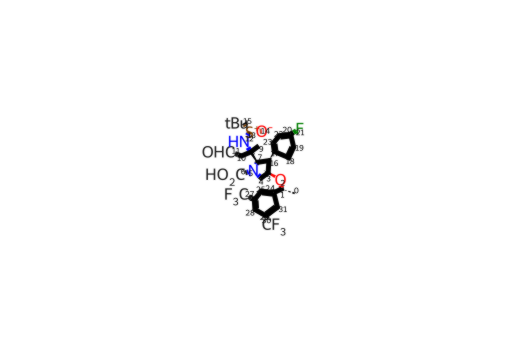 C[C@@H](O[C@H]1CN(C(=O)O)[C@@H](C(C)(CC=O)N[S+]([O-])C(C)(C)C)[C@@H]1c1ccc(F)cc1)c1cc(C(F)(F)F)cc(C(F)(F)F)c1